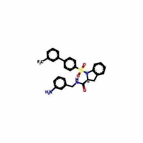 Nc1cccc(CNC(=O)[C@@H]2Cc3ccccc3N2S(=O)(=O)c2ccc(-c3cccc(C(F)(F)F)c3)cc2)c1